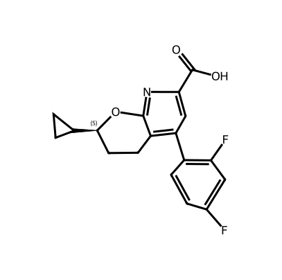 O=C(O)c1cc(-c2ccc(F)cc2F)c2c(n1)O[C@H](C1CC1)CC2